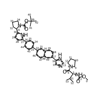 COC(=O)N[C@H](C(=O)N1CCC[C@H]1c1ncc(-c2ccc3cc(-c4ccc(-c5ccc(C6CCCN6C(=O)OC(C)(C)C)[nH]5)cc4)ccc3c2)[nH]1)C(C)C